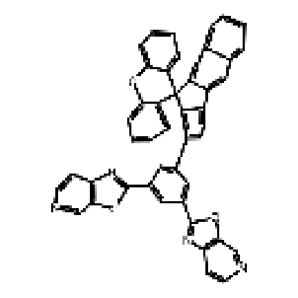 c1ccc2c(c1)Oc1ccccc1C21c2cc(-c3cc(-c4nc5ccncc5o4)cc(-c4nc5ccncc5o4)c3)ccc2-c2cc3ccccc3cc21